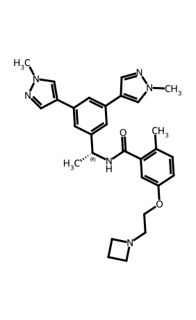 Cc1ccc(OCCN2CCC2)cc1C(=O)N[C@H](C)c1cc(-c2cnn(C)c2)cc(-c2cnn(C)c2)c1